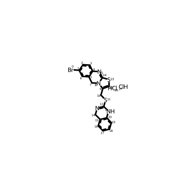 Brc1ccc2c(c1)CN1C(CSC3=NCc4ccccc4N3)=CSC1=N2.Cl.Cl